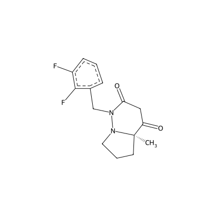 C[C@]12CCCN1N(Cc1cccc(F)c1F)C(=O)CC2=O